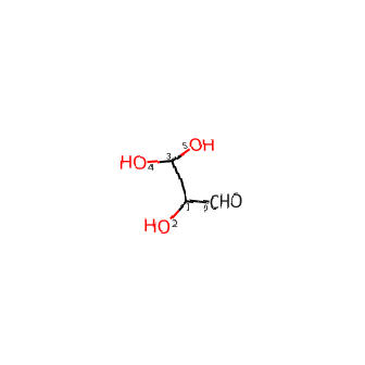 O=CC(O)C(O)O